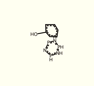 Oc1ccccc1.n1p[nH][pH][nH][pH]1